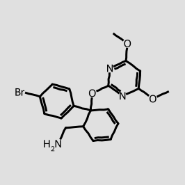 COc1cc(OC)nc(OC2(c3ccc(Br)cc3)C=CC=CC2CN)n1